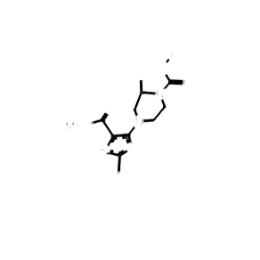 COC(=O)c1nc(Br)sc1N1CCN(C(=O)OC(C)(C)C)C(C)C1